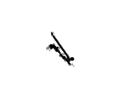 CCc1c2c(nc3ccc(OCCCNC(=O)OCc4ccc(NC(=O)[C@H](CCCCN)NC(=O)[C@H](Cc5ccccc5)NC(=O)CCOCCOCCOCCOCCOCCOCCOCCOCCOCCN=[N+]=[N-])cc4)cc13)-c1cc3c(c(=O)n1C2)COC(=O)[C@]3(O)CC